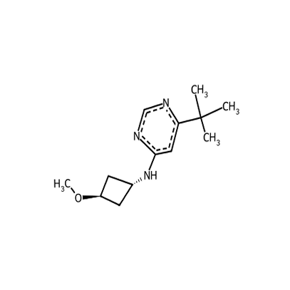 CO[C@H]1C[C@H](Nc2cc(C(C)(C)C)ncn2)C1